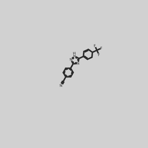 N#Cc1ccc(-c2n[nH]c(C3=CCC(C(F)(F)F)C=C3)n2)cc1